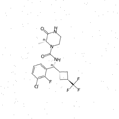 C[C@@H]1C(=O)NCCN1C(=O)N[C@@H](c1cccc(Cl)c1F)[C@H]1C[C@H](C(F)(F)F)C1